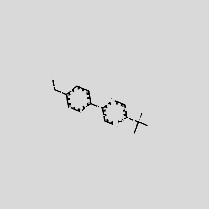 CCCCCCCCCCCc1ccc(-c2cnc([C@@](C)(Cl)C(=O)O)cn2)cc1